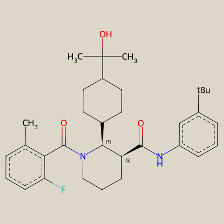 Cc1cccc(F)c1C(=O)N1CCC[C@H](C(=O)Nc2cccc(C(C)(C)C)c2)[C@@H]1C1CCC(C(C)(C)O)CC1